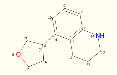 c1cc2c(c([C@@H]3CCOC3)c1)CCCN2